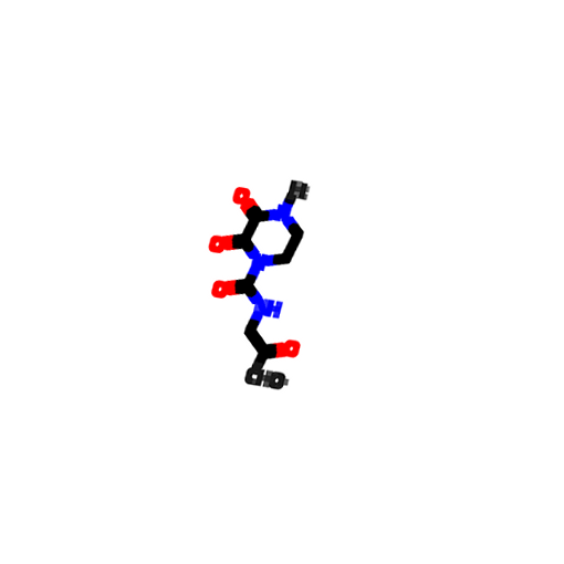 CCN1CCN(C(=O)NCC(=O)[C]=O)C(=O)C1=O